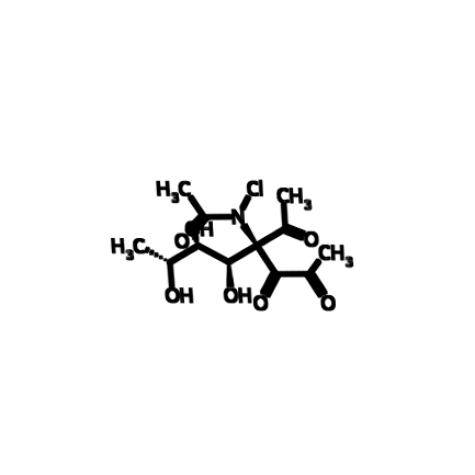 CC(=O)C(=O)[C@@](C(C)=O)([C@@H](O)[C@@H](O)[C@@H](C)O)N(Cl)C(C)=O